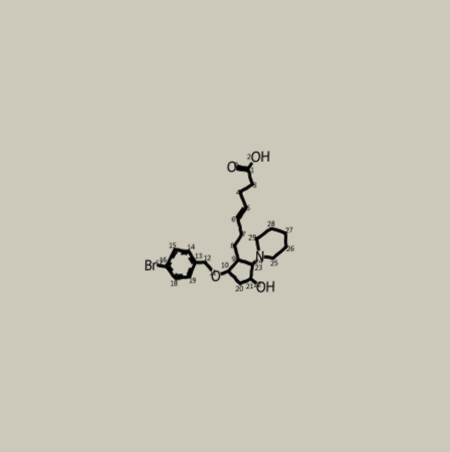 O=C(O)CCC=CCCC1C(OCc2ccc(Br)cc2)CC(O)C1N1CCCCC1